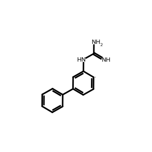 N=C(N)Nc1[c]ccc(-c2ccccc2)c1